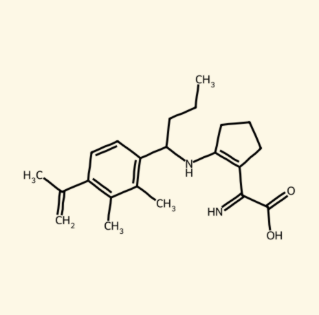 C=C(C)c1ccc(C(CCC)NC2=C(C(=N)C(=O)O)CCC2)c(C)c1C